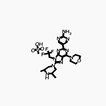 CC1CN(c2nc3c(N4CCOCC4)nc(-c4cnc(N)nc4)nc3n2CC(F)(F)F)CC(C)N1.CS(=O)(=O)O